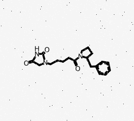 O=C1CN(CCCCC(=O)N2CCCC2Cc2ccccc2)C(=O)N1